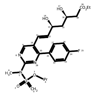 C=S(=O)(OC(C)C)N(C)c1ncc(/C=C/[C@@H](O)C[C@@H](O)CC(=O)OCC)c(-c2ccc(F)cc2)n1